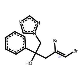 OC(C/C(Br)=C/Br)(Cn1cncn1)c1ccccc1